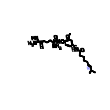 COc1cc(CNC(=O)CCCC/C=C/C(C)C)ccc1ONC(=O)[C@@H](N)CCCNC(=N)N